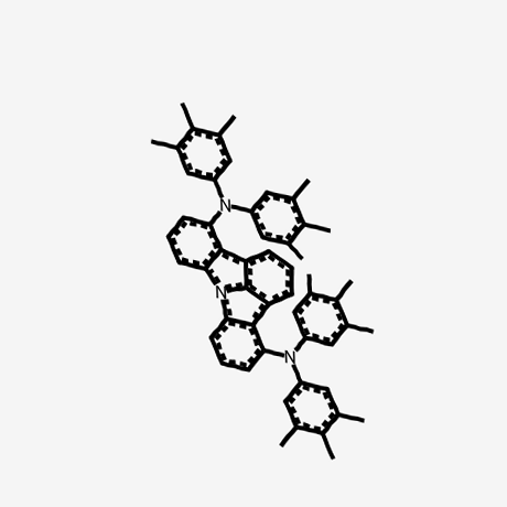 Cc1cc(N(c2cc(C)c(C)c(C)c2)c2cccc3c2c2cccc4c5c(N(c6cc(C)c(C)c(C)c6)c6cc(C)c(C)c(C)c6)cccc5n3c24)cc(C)c1C